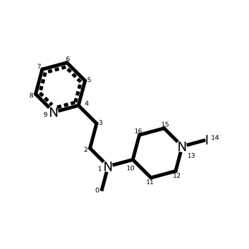 CN(CCc1ccccn1)C1CCN(I)CC1